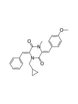 COc1ccc(/C=c2/c(=O)n(CC3CC3)/c(=C\c3ccccc3)c(=O)n2C)cc1